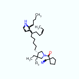 C/C=C\CC/C(CCCCC[C@@H]1CN(C(=O)C2(C#N)CCCC2)C[C@]1(C)CC)=c1/cc[nH]/c1=C\CCC